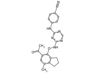 CC(=O)c1cc(C)c2c(c1ONc1ncnc(Nc3ccc(C#N)cc3)n1)CCC2